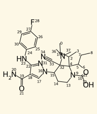 CCC(C)C1(C(C)CC)N(C(=O)O)CCC(n2cc(C(N)=O)c(Nc3ccc(F)cc3)n2)C1(C#N)N(C)C